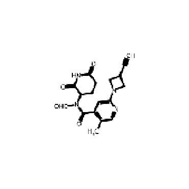 C#CC1CN(c2cc(C(=O)N(C=O)C3CCC(=O)NC3=O)c(C)cn2)C1